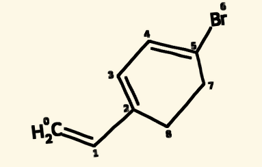 C=CC1=CC=C(Br)CC1